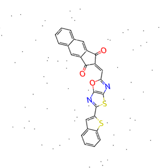 O=C1C(=Cc2nc3sc(-c4cc5ccccc5s4)nc3o2)C(=O)c2cc3ccccc3cc21